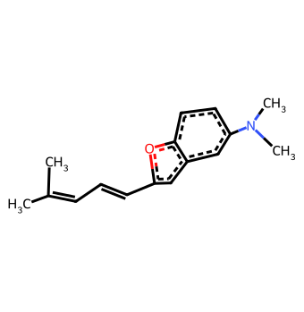 CC(C)=CC=Cc1cc2cc(N(C)C)ccc2o1